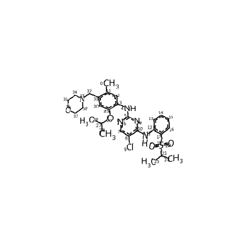 Cc1cc(Nc2ncc(Cl)c(Nc3ccccc3S(=O)(=O)C(C)C)n2)c(OC(C)C)cc1CN1CCOCC1